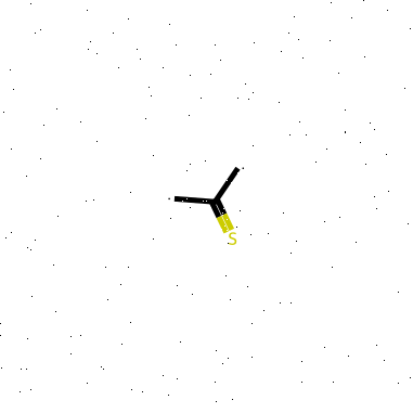 [CH2]C([CH2])=S